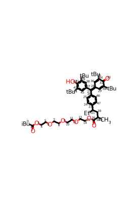 CCC(C)C(=O)OCCOCCOCCOCCOC(=O)C(C)CC(CC)c1ccc(C(=C2C=C(C(C)(C)C)C(=O)C(C(C)(C)C)=C2)c2cc(C(C)(C)C)c(O)c(C(C)(C)C)c2)cc1